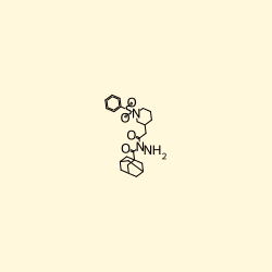 NN(C(=O)CC1CCCN(S(=O)(=O)c2ccccc2)C1)C(=O)C12CC3CC(CC(C3)C1)C2